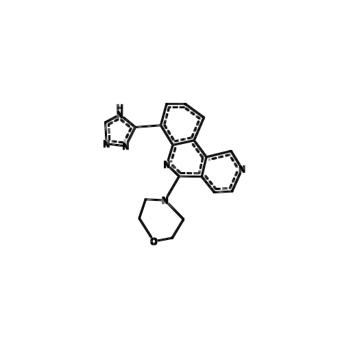 c1cc(-c2nnc[nH]2)c2nc(N3CCOCC3)c3ccncc3c2c1